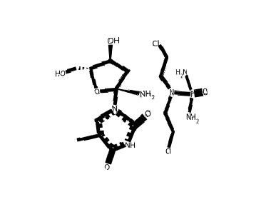 Cc1cn([C@@]2(N)C[C@H](O)[C@@H](CO)O2)c(=O)[nH]c1=O.NP(N)(=O)N(CCCl)CCCl